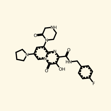 O=C(NCc1ccc(F)cc1)c1nc2c(N3CCNCC3=O)cc(N3CCCC3)cn2c(=O)c1O